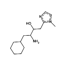 Cn1ccnc1CC(O)C(N)CC1CCCCC1